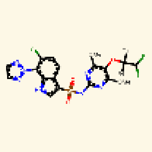 [2H]C([2H])(Oc1c(OC)nc(NS(=O)(=O)c2c[nH]c3c(-n4nccn4)c(Cl)ccc23)nc1OC)C(F)F